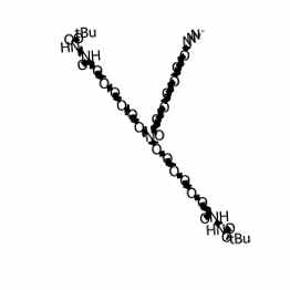 CC(C)(C)OC(=O)NCCNC(=O)CCOCCOCCOCCOCCOCCOCCN(CCOCCOCCOCCOCCOCCOCCC(=O)NCCNC(=O)OC(C)(C)C)C(=O)CCOCCOCCOCCOCCOCCOCCN=[N+]=[N-]